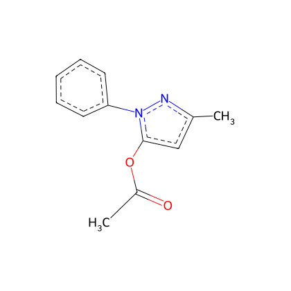 CC(=O)Oc1cc(C)nn1-c1ccccc1